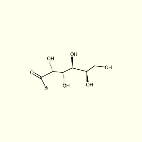 O=C(Br)[C@H](O)[C@@H](O)[C@@H](O)[C@H](O)CO